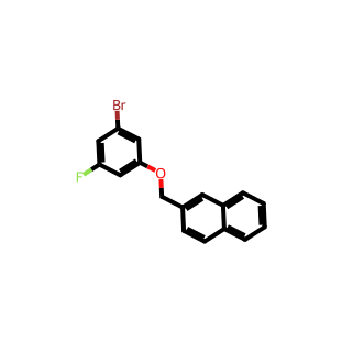 Fc1cc(Br)cc(OCc2ccc3ccccc3c2)c1